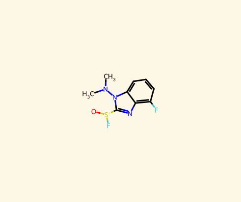 CN(C)n1c([S+]([O-])F)nc2c(F)cccc21